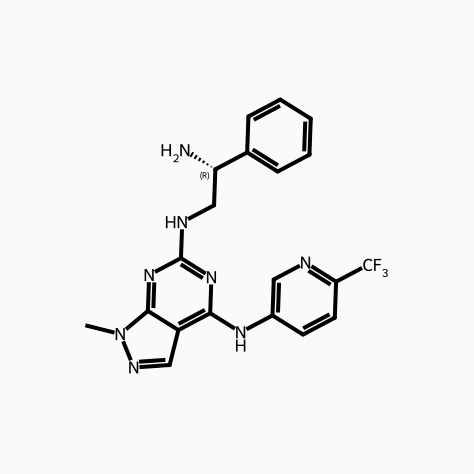 Cn1ncc2c(Nc3ccc(C(F)(F)F)nc3)nc(NC[C@H](N)c3ccccc3)nc21